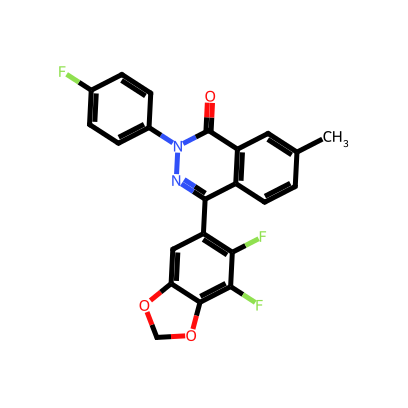 Cc1ccc2c(-c3cc4c(c(F)c3F)OCO4)nn(-c3ccc(F)cc3)c(=O)c2c1